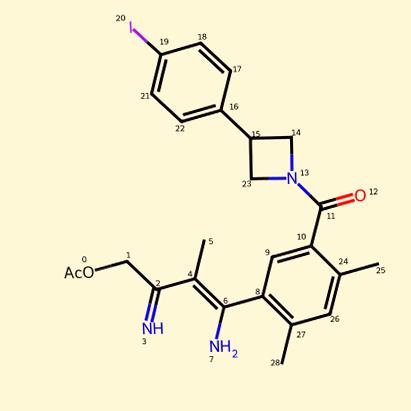 CC(=O)OCC(=N)/C(C)=C(\N)c1cc(C(=O)N2CC(c3ccc(I)cc3)C2)c(C)cc1C